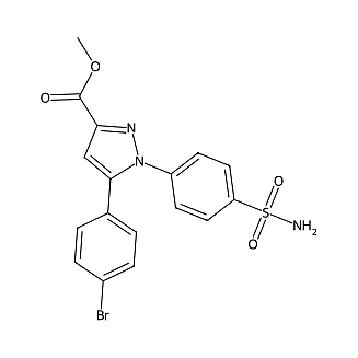 COC(=O)c1cc(-c2ccc(Br)cc2)n(-c2ccc(S(N)(=O)=O)cc2)n1